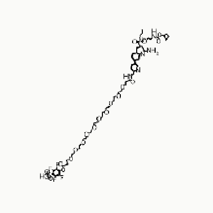 CCCN(OCCNC(=O)OC1CCC1)C(=O)C1=Cc2ccc(-c3ccc(CNC(=O)CCOCCOCCOCCOCCOCCOCCOCCOCCOCCOCCC(=O)Oc4c(F)c(F)c(S(=O)(=O)O)c(F)c4F)nc3)cc2N=C(N)C1